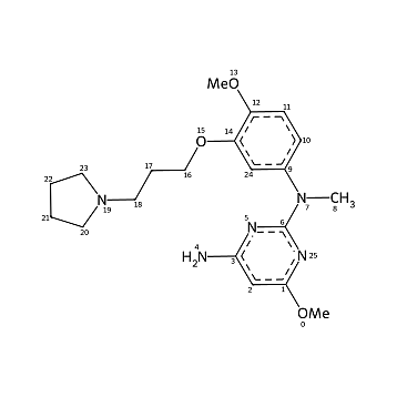 COc1cc(N)nc(N(C)c2ccc(OC)c(OCCCN3CCCC3)c2)n1